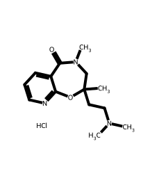 CN(C)CCC1(C)CN(C)C(=O)c2cccnc2O1.Cl